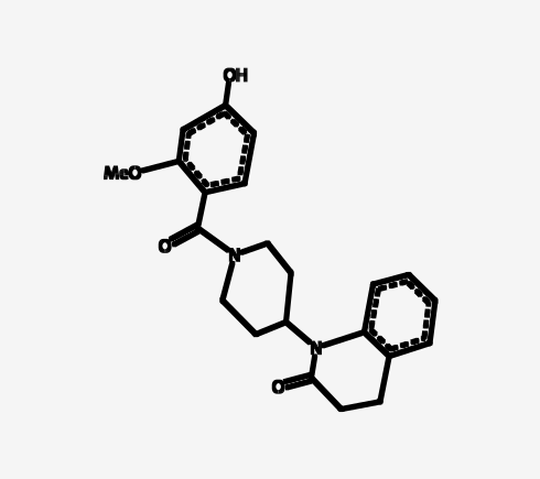 COc1cc(O)ccc1C(=O)N1CCC(N2C(=O)CCc3ccccc32)CC1